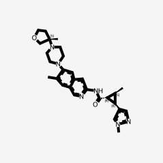 Cc1cc2cnc(NC(=O)[C@@H]3[C@@H](C)[C@H]3c3cnn(C)c3)cc2cc1N1CCN([C@@]2(C)CCOC2)CC1